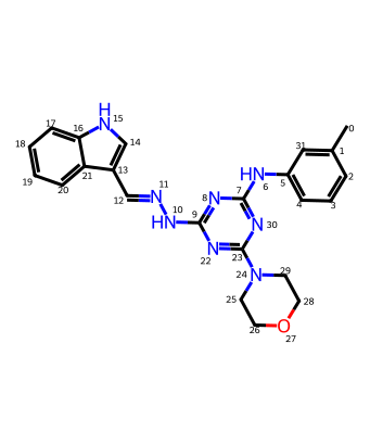 Cc1cccc(Nc2nc(NN=Cc3c[nH]c4ccccc34)nc(N3CCOCC3)n2)c1